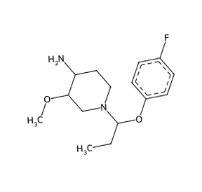 CCC(Oc1ccc(F)cc1)N1CCC(N)C(OC)C1